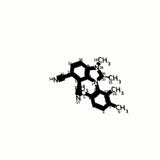 Cc1ccc(C)c(N2c3c(ccc(C#N)c3C#N)N(C)[C@@H]2C)c1C